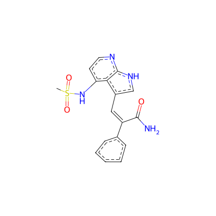 CS(=O)(=O)Nc1ccnc2[nH]cc(C=C(C(N)=O)c3ccccc3)c12